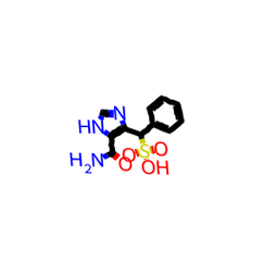 NC(=O)c1[nH]cnc1C(c1ccccc1)S(=O)(=O)O